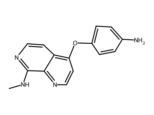 CNc1nccc2c(Oc3ccc(N)cc3)ccnc12